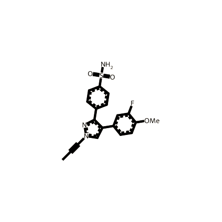 CC#Cn1cc(-c2ccc(OC)c(F)c2)c(-c2ccc(S(N)(=O)=O)cc2)n1